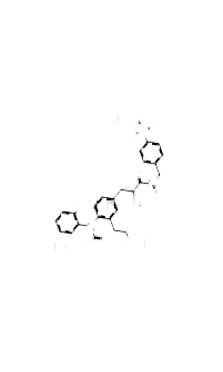 CC(=O)N(Cc1ccc(S(C)(=O)=O)cc1)C(=O)C(N)Cc1ccc(N(C(=O)C(=O)O)c2ccccc2C(=O)O)c(CCO)c1